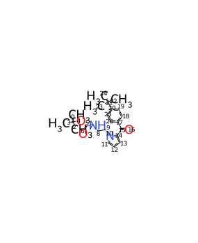 CC(C)(C)OC(=O)NCCn1cccc1C(=O)c1ccc(C(C)(C)C)cc1